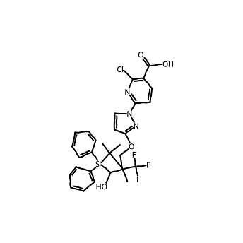 CC(COc1ccn(-c2ccc(C(=O)O)c(Cl)n2)n1)(C(O)[Si](c1ccccc1)(c1ccccc1)C(C)(C)C)C(F)(F)F